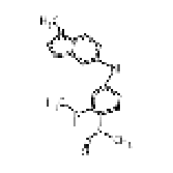 CNc1cc(Nc2ccc3c(ccn3C)c2)ccc1N(C)N=O